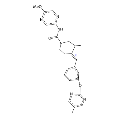 COc1cnc(NC(=O)N2CC/C(=C\c3cccc(Oc4ncc(C)cn4)c3)C(C)C2)cn1